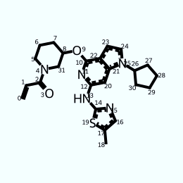 C=CC(=O)N1CCCC(Oc2nc(Nc3ncc(C)s3)cc3c2ccn3C2CCCC2)C1